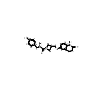 O=C1CCc2cc(OCC3CN(C(=O)NCc4ccc(Cl)cc4)C3)ccc2N1